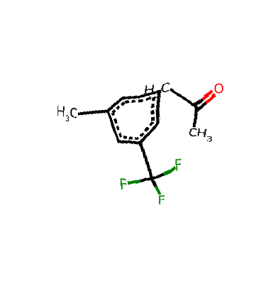 CC(C)=O.Cc1cccc(C(F)(F)F)c1